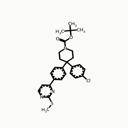 CSc1nccc(-c2ccc(C3(c4ccc(Cl)cc4)CCN(C(=O)OC(C)(C)C)CC3)cc2)n1